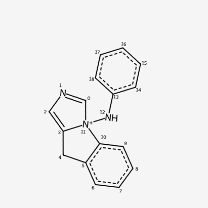 C1=NC=C2Cc3ccccc3[N+]12Nc1ccccc1